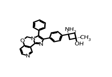 C[C@]1(O)C[C@@](N)(c2ccc(-c3nc4n(c3-c3ccccc3)COc3ccncc3-4)cc2)C1